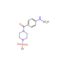 CCS(=O)(=O)N1CCN(C(=O)c2ccc(NS(=O)(=O)O)cc2)CC1